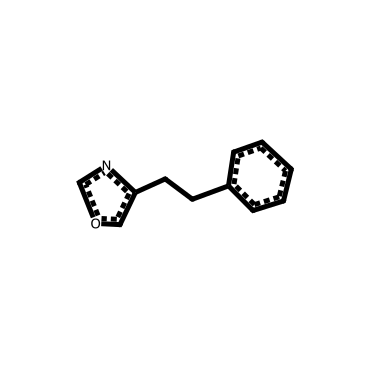 c1ccc(CCc2cocn2)cc1